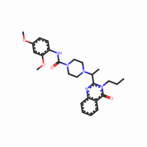 CCCn1c(C(C)N2CCN(C(=O)Nc3ccc(OC)cc3OC)CC2)nc2ccccc2c1=O